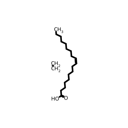 C=C.CCCCCCCC/C=C\CCCCCCCC(=O)O